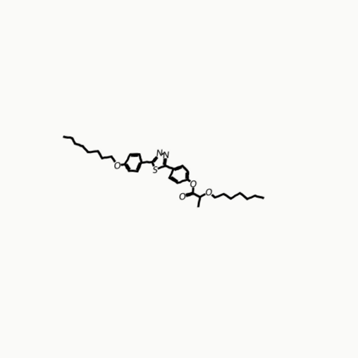 CCCCCCCCOc1ccc(-c2nnc(-c3ccc(OC(=O)C(C)OCCCCCCC)cc3)s2)cc1